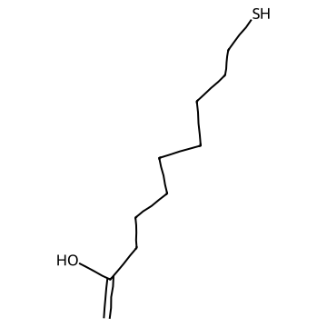 C=C(O)CCCCCCCCS